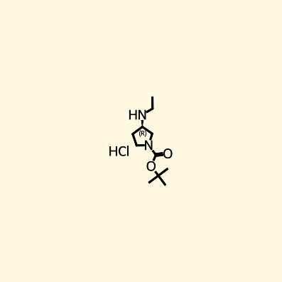 CCN[C@@H]1CCN(C(=O)OC(C)(C)C)C1.Cl